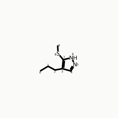 CCCc1cn[nH]c1SC